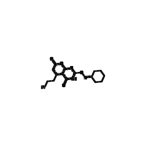 CC(C)CCc1cc(=O)oc2nc(ON=C3CCCCC3)[nH]c(=O)c12